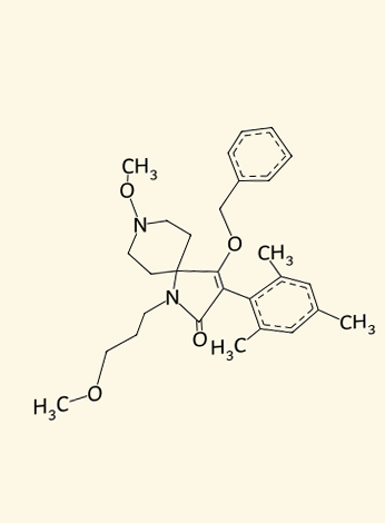 COCCCN1C(=O)C(c2c(C)cc(C)cc2C)=C(OCc2ccccc2)C12CCN(OC)CC2